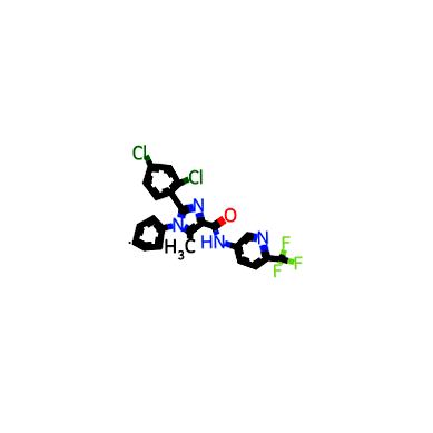 Cc1c(C(=O)Nc2ccc(C(F)(F)F)nc2)nc(-c2ccc(Cl)cc2Cl)n1-c1cc[c]cc1